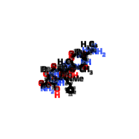 CC[C@H](C)[C@H](NC(=O)[C@@H](CCc1ccccc1)NC)C(=O)N[C@@H](CO)C(=O)N[C@H](CCC(N)=O)C(=O)N[C@@H](C(=O)N[C@H](C(=O)N[C@@H](CO)C(=O)N[C@H]1C(=O)N[C@@H](C)C(=O)NC2(CC2CCN/C(N)=N\C)C(=O)N[C@@H]([C@@H](C)CC)C(=O)O[C@H]1C)[C@@H](C)CC)[C@@H](C)CC